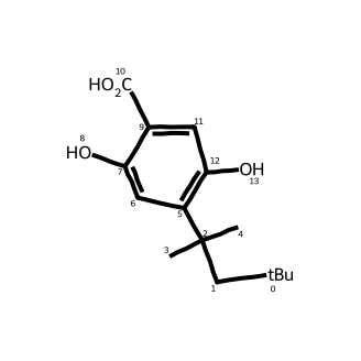 CC(C)(C)CC(C)(C)c1cc(O)c(C(=O)O)cc1O